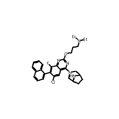 CCN(CC)CCCOc1nc(N2CC3CCC(C2)N3)c2cc(Cl)c(-c3cccc4ccccc34)c(F)c2n1